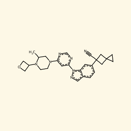 CC1CN(c2cc(-n3ncc4ccc(C5(C#N)CC6(CC6)C5)cc43)ncn2)CCN1C1COC1